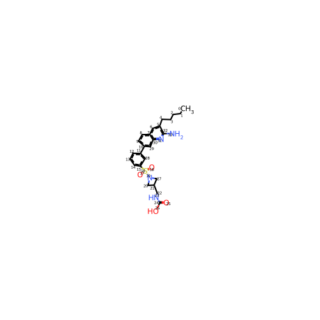 CCCCCc1cc2ccc(-c3cccc(S(=O)(=O)N4CC(CNC(=O)O)C4)c3)cc2nc1N